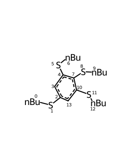 CCCCSc1cc(SCCCC)c(SCCCC)c(SCCCC)c1